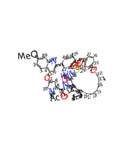 COc1ccc2c(O[C@@H]3C[C@@H](C(=O)N[C@]45C[C@H]4CCCCCCCOc4ccccc4S(=O)(=O)NC5=O)N(C(C)=O)C3)cc(-c3ccccc3)nc2c1